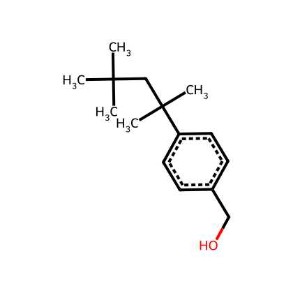 CC(C)(C)CC(C)(C)c1ccc(CO)cc1